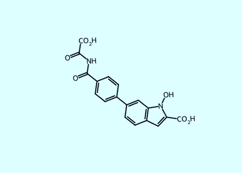 O=C(O)C(=O)NC(=O)c1ccc(-c2ccc3cc(C(=O)O)n(O)c3c2)cc1